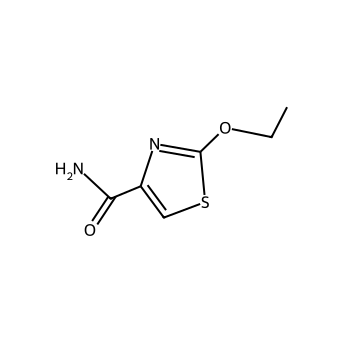 CCOc1nc(C(N)=O)cs1